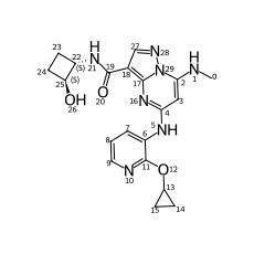 CNc1cc(Nc2cccnc2OC2CC2)nc2c(C(=O)N[C@H]3CC[C@@H]3O)cnn12